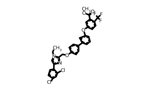 CCn1cc(-c2ccc(Cl)cc2Cl)nc1COc1ccc(-c2cccc(Oc3ccc(C(F)(F)F)c(C(=O)OC)c3)c2)cc1